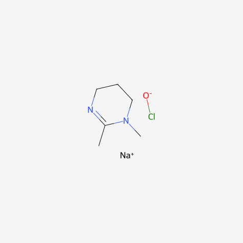 CC1=NCCCN1C.[Na+].[O-]Cl